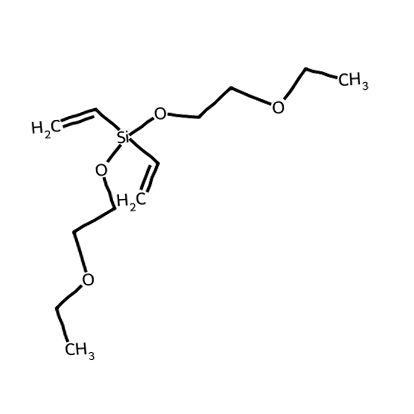 C=C[Si](C=C)(OCCOCC)OCCOCC